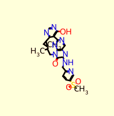 CC(C)Cn1c(=O)c(NCc2ccc(S(C)(=O)=O)cn2)nc2cnc(-c3c(O)ncnc3C3CC3)nc21